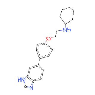 c1nc2ccc(-c3ccc(OCCNC4CCCCC4)cc3)cc2[nH]1